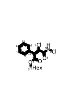 CCCCCCOC(=O)C(=C(Cl)C(=O)NCl)c1ccccc1